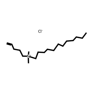 C=CCCC[N+](C)(C)CCCCCCCCCCCC.[Cl-]